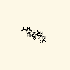 CC(=O)Nc1nc(C)c(S(=O)(=O)Nc2nc(C(C)C)ns2)s1